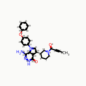 CC#CC(=O)N1CCC[C@@H](c2cn(-c3ccc(Oc4ccccc4)cc3)c3c(N)n[nH]c(=O)c23)C1